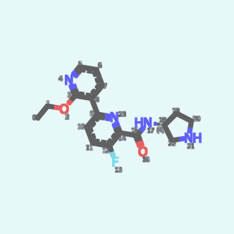 CCOc1ncccc1-c1ccc(F)c(C(=O)N[C@@H]2CCNC2)n1